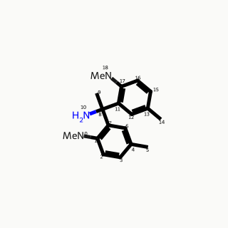 CNc1ccc(C)cc1C(C)(N)c1cc(C)ccc1NC